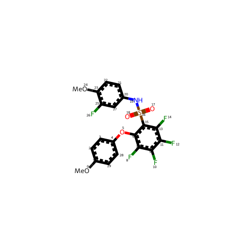 COc1ccc(Oc2c(F)c(F)c(F)c(F)c2S(=O)(=O)Nc2ccc(OC)c(F)c2)cc1